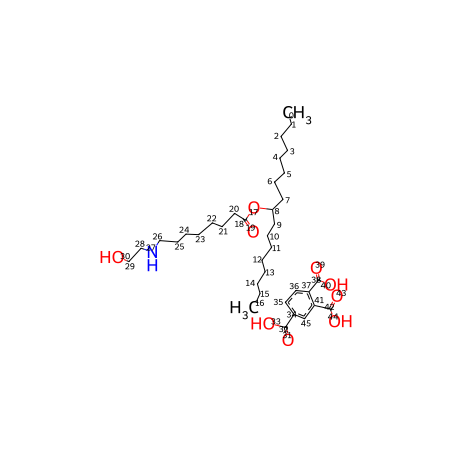 CCCCCCCCC(CCCCCCCC)OC(=O)CCCCCCCNCCO.O=C(O)c1ccc(C(=O)O)c(C(=O)O)c1